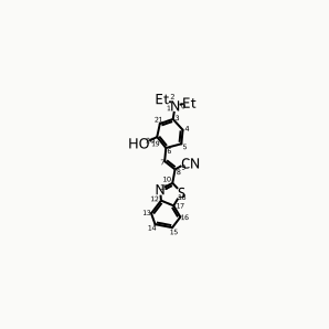 CCN(CC)c1ccc(C=C(C#N)c2nc3ccccc3s2)c(O)c1